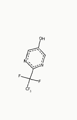 Oc1cnc(C(F)(F)C(F)(F)F)nc1